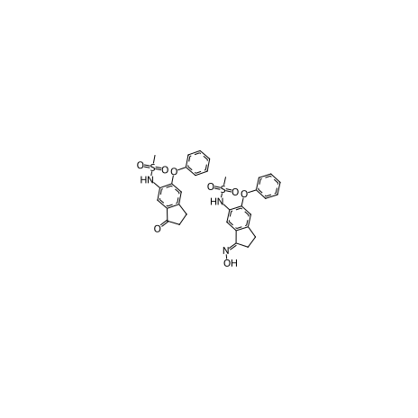 CS(=O)(=O)Nc1cc2c(cc1Oc1ccccc1)CCC2=NO.CS(=O)(=O)Nc1cc2c(cc1Oc1ccccc1)CCC2=O